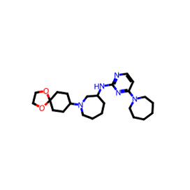 c1cc(N2CCCCCC2)nc(NC2CCCCN(C3CCC4(CC3)OCCO4)C2)n1